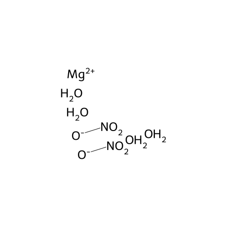 O.O.O.O.O=[N+]([O-])[O-].O=[N+]([O-])[O-].[Mg+2]